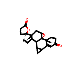 CC12CC3O[C@@]34C(C3CC3C3=CC(=O)CCC34C)C1CC[C@@]21CCC(=O)O1